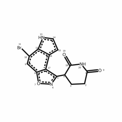 O=C1CCC(c2noc3cc(Br)c4[nH]ccc4c23)C(=O)N1